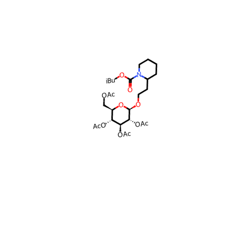 CCC(C)OC(=O)N1CCCCC1CCO[C@@H]1O[C@H](COC(C)=O)[C@@H](OC(C)=O)[C@H](OC(C)=O)[C@H]1OC(C)=O